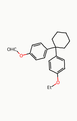 CCOc1ccc(C2(c3ccc(OC=O)cc3)CCCCC2)cc1